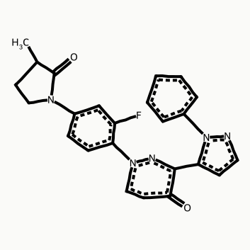 CC1CCN(c2ccc(-n3ccc(=O)c(-c4ccnn4-c4ccccc4)n3)c(F)c2)C1=O